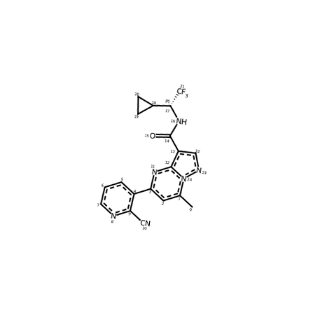 Cc1cc(-c2cccnc2C#N)nc2c(C(=O)N[C@H](C3CC3)C(F)(F)F)cnn12